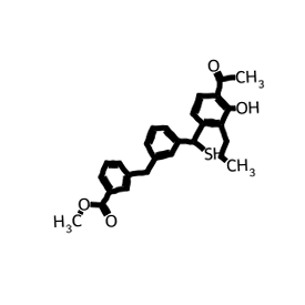 CCCc1c(C(S)c2cccc(Cc3cccc(C(=O)OC)c3)c2)ccc(C(C)=O)c1O